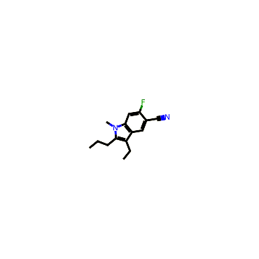 CCCc1c(CC)c2cc(C#N)c(F)cc2n1C